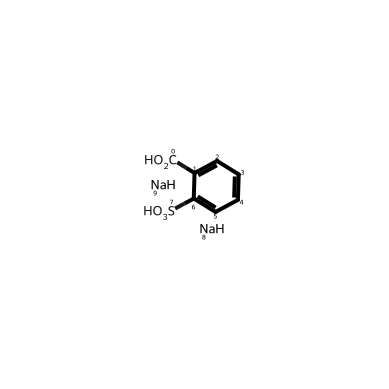 O=C(O)c1ccccc1S(=O)(=O)O.[NaH].[NaH]